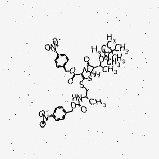 CC(CSC1=C(C(=O)OCc2ccc([N+](=O)[O-])cc2)N2C(=O)C(C(C)O[Si](C)(C)C(C)(C)C)[C@H]2S1)NC(=O)OCc1ccc([N+](=O)[O-])cc1